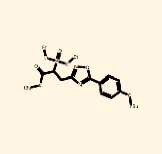 CCCCOc1ccc(-c2nc(CC(C(=O)OC(C)(C)C)P(=O)(OCC)OCC)no2)cc1